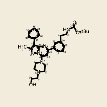 Cc1nn2c(N3CCN(CCO)CC3)cc(-c3cccc(CCNC(=O)OC(C)(C)C)c3)nc2c1-c1ccccc1